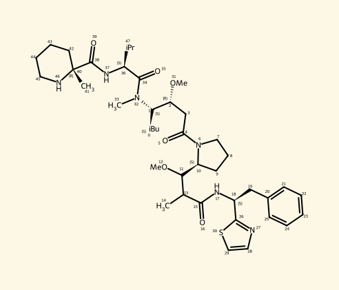 CC[C@H](C)[C@@H]([C@@H](CC(=O)N1CCC[C@H]1C(OC)C(C)C(=O)N[C@@H](Cc1ccccc1)c1nccs1)OC)N(C)C(=O)[C@@H](NC(=O)[C@@]1(C)CCCCN1)C(C)C